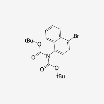 CC(C)(C)OC(=O)N(C(=O)OC(C)(C)C)c1ccc(Br)c2ccccc12